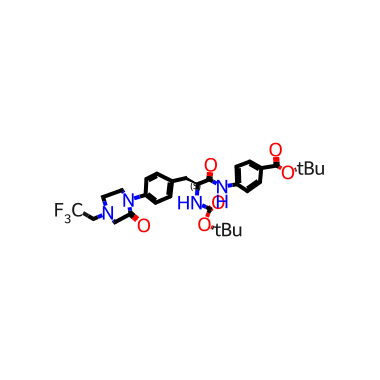 CC(C)(C)OC(=O)N[C@@H](Cc1ccc(N2CCN(CC(F)(F)F)CC2=O)cc1)C(=O)Nc1ccc(C(=O)OC(C)(C)C)cc1